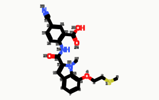 CSCCOc1cccc2cc(C(=O)Nc3ccc(C#N)cc3C(=O)O)n(C)c12